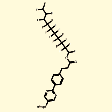 CCCCCCCc1cnc(-c2ccc(CCC(=O)OC(F)C(F)(F)C(F)(F)C(F)(F)C(F)(F)C(F)(F)C(F)(F)C(F)C(F)C(F)F)cc2)nc1